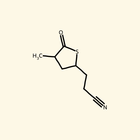 CC1CC(CCC#N)SC1=O